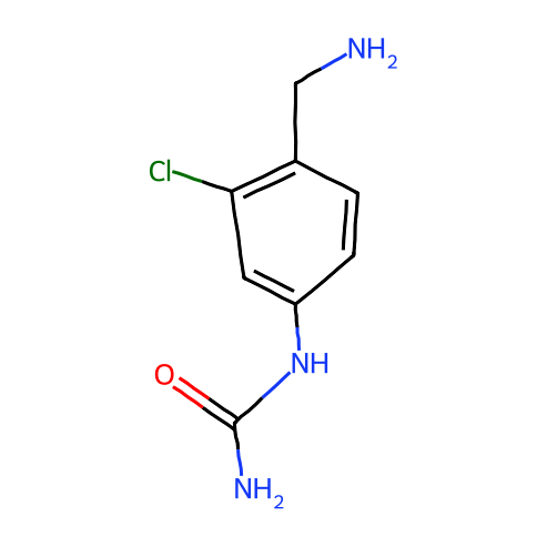 NCc1ccc(NC(N)=O)cc1Cl